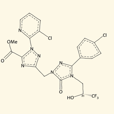 COC(=O)c1nc(Cn2nc(-c3ccc(Cl)cc3)n(C[C@@H](O)C(F)(F)F)c2=O)nn1-c1ncccc1Cl